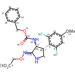 CCOC(=O)CO/N=C1\NC[C@@H](c2c(F)cc(OC)cc2F)[C@@H]1NC(=O)OCc1ccccc1